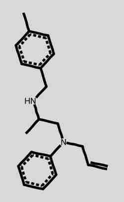 C=CCN(CC(C)NCc1ccc(C)cc1)c1ccccc1